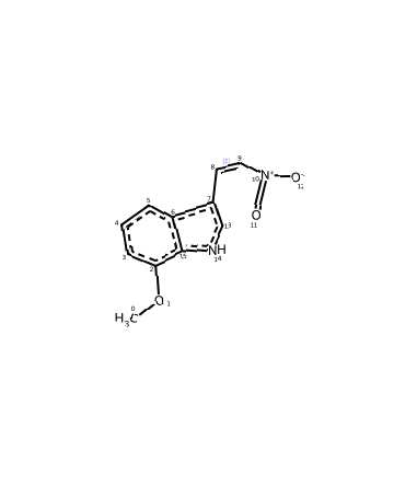 COc1cccc2c(/C=C\[N+](=O)[O-])c[nH]c12